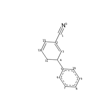 N#CC1=CC(c2ccccc2)CC=[C]1